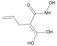 C=CCC(C(=O)NO)=C(O)O